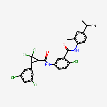 [CH2]C(C#N)c1ccc(NC(=O)c2cc(NC(=O)C3C(c4cc(Cl)cc(Cl)c4)C3(Cl)Cl)ccc2Cl)c(C)c1